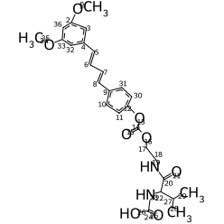 COc1cc(/C=C/C=C/c2ccc(OC(=O)OCCNC(=O)C(NC(=O)O)C(C)C)cc2)cc(OC)c1